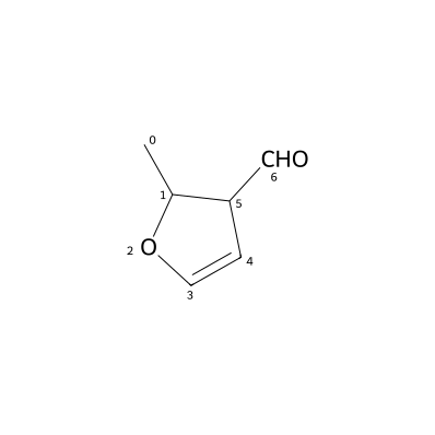 CC1OC=CC1C=O